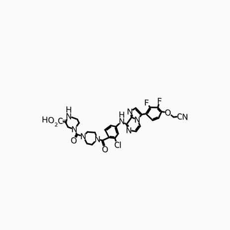 N#CCOc1ccc(-c2cnc3c(Nc4ccc(C(=O)N5CCN(C(=O)N6CCN[C@H](C(=O)O)C6)CC5)c(Cl)c4)nccn23)c(F)c1F